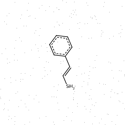 [SiH2]C=Cc1ccccc1